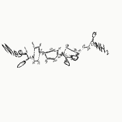 CSCC(=O)N1CC=C(c2ccc(N3C[C@H](CCC(N)=O)OC3=O)cc2)CC1